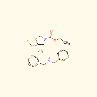 CCOC(=O)N1CCC(C)(CF)C1.c1ccc(CNCc2ccccc2)cc1